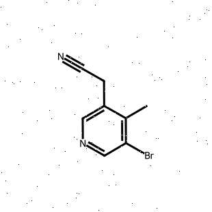 Cc1c(Br)cncc1CC#N